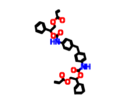 C=CC(=O)OCC(OC(=O)Nc1ccc(Cc2ccc(NC(=O)OC(COC(=O)C=C)c3ccccc3)cc2)cc1)c1ccccc1